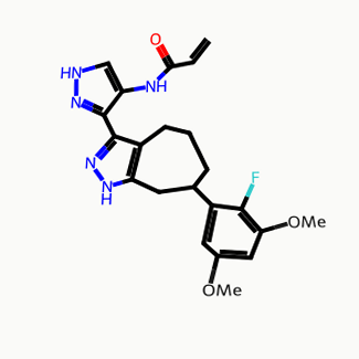 C=CC(=O)Nc1c[nH]nc1-c1n[nH]c2c1CCCC(c1cc(OC)cc(OC)c1F)C2